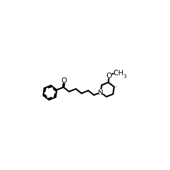 COC1[CH]CCN(CCCCCC(=O)c2ccccc2)C1